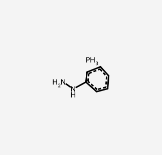 NNc1ccccc1.P